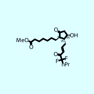 CCCC(F)(F)C(=O)C=CC[C@H]1[C@H](O)CC(=O)[C@@H]1CCCCCCC(=O)OC